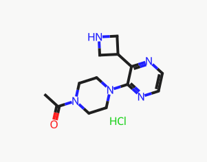 CC(=O)N1CCN(c2nccnc2C2CNC2)CC1.Cl